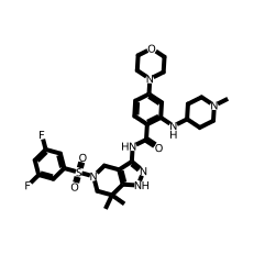 CN1CCC(Nc2cc(N3CCOCC3)ccc2C(=O)Nc2n[nH]c3c2CN(S(=O)(=O)c2cc(F)cc(F)c2)CC3(C)C)CC1